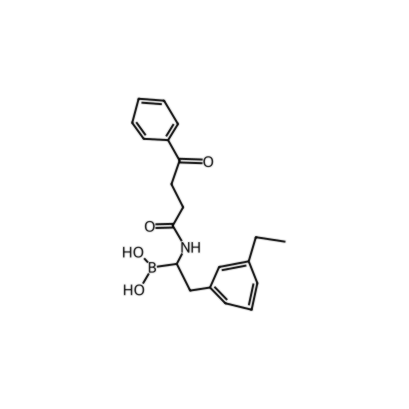 CCc1cccc(CC(NC(=O)CCC(=O)c2ccccc2)B(O)O)c1